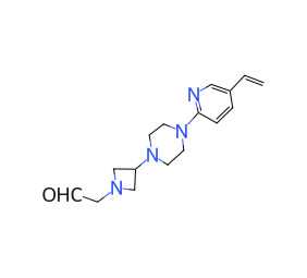 C=Cc1ccc(N2CCN(C3CN(CC=O)C3)CC2)nc1